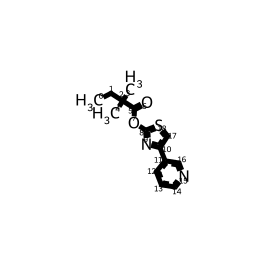 CCC(C)(C)C(=O)Oc1nc(-c2cccnc2)cs1